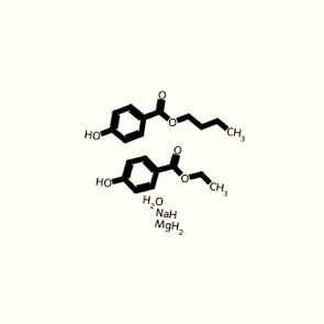 CCCCOC(=O)c1ccc(O)cc1.CCOC(=O)c1ccc(O)cc1.O.[MgH2].[NaH]